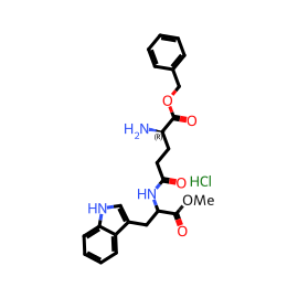 COC(=O)C(Cc1c[nH]c2ccccc12)NC(=O)CC[C@@H](N)C(=O)OCc1ccccc1.Cl